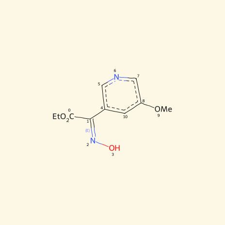 CCOC(=O)/C(=N/O)c1cncc(OC)c1